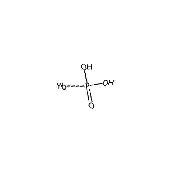 O=[P](O)(O)[Yb]